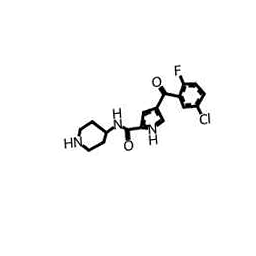 O=C(NC1CCNCC1)c1cc(C(=O)c2cc(Cl)ccc2F)c[nH]1